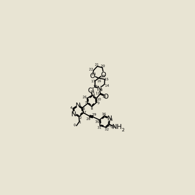 CCc1ncnc(-c2ccc(C(=O)N3CCC4(CC3)OCCCO4)c(Cl)c2)c1C#Cc1ccc(N)nc1